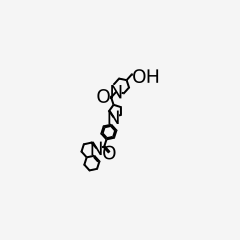 O=C(C1CCN(c2ccc(C(=O)N3CCCC4CCCC=C43)cc2)C1)N1CCC(CO)CC1